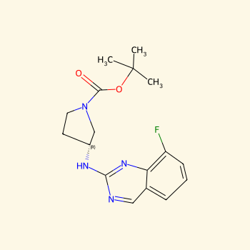 CC(C)(C)OC(=O)N1CC[C@@H](Nc2ncc3cccc(F)c3n2)C1